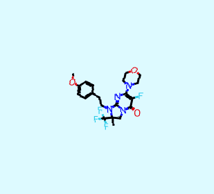 COc1ccc(CCN2c3nc(N4CCOCC4)c(F)c(=O)n3CC2(C)C(F)(F)F)cc1